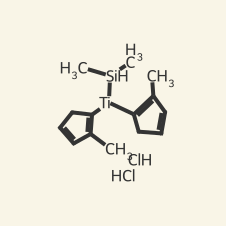 CC1=[C]([Ti]([C]2=C(C)C=CC2)[SiH](C)C)CC=C1.Cl.Cl